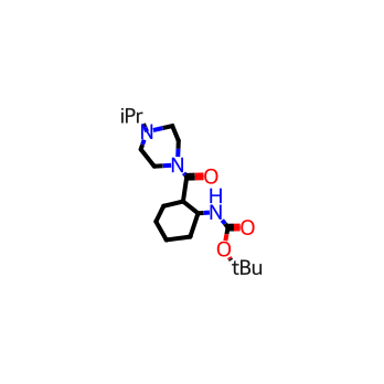 CC(C)N1CCN(C(=O)C2CCCCC2NC(=O)OC(C)(C)C)CC1